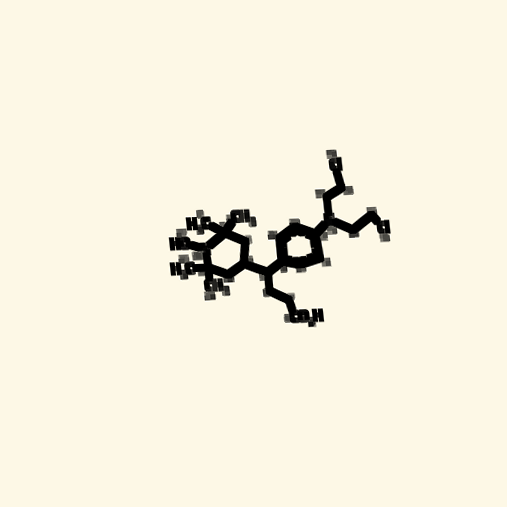 CC1(C)CC(C(CCC(=O)O)c2ccc(N(CCCl)CCCl)cc2)CC(C)(C)N1O